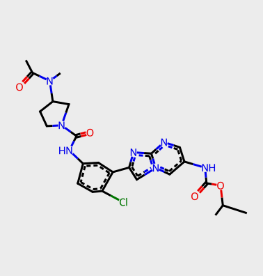 CC(=O)N(C)C1CCN(C(=O)Nc2ccc(Cl)c(-c3cn4cc(NC(=O)OC(C)C)cnc4n3)c2)C1